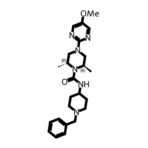 COc1cnc(N2C[C@@H](C)N(C(=O)NC3CCN(Cc4ccccc4)CC3)[C@H](C)C2)nc1